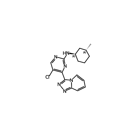 C[C@@H]1CCC[C@@H](Nc2ncc(Cl)c(-c3nnc4ccccn34)n2)C1